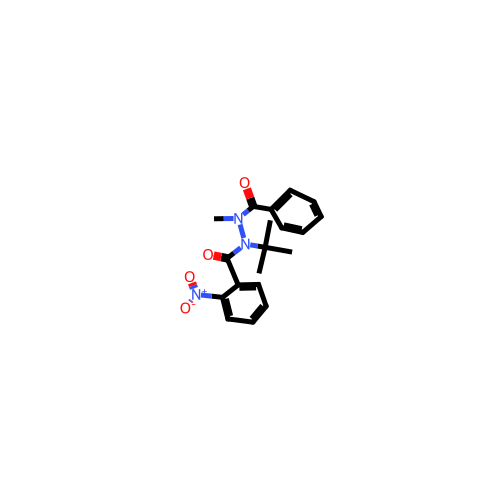 CN(C(=O)c1ccccc1)N(C(=O)c1ccccc1[N+](=O)[O-])C(C)(C)C